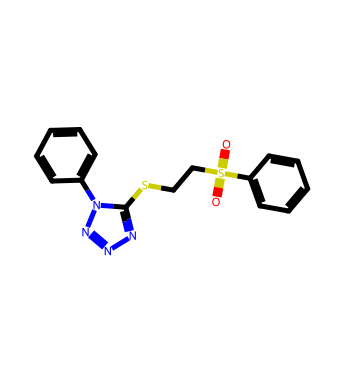 O=S(=O)(CCSc1nnnn1-c1ccccc1)c1ccccc1